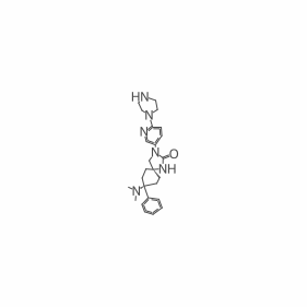 CN(C)[C@]1(c2ccccc2)CC[C@@]2(CC1)CN(c1ccc(N3CCNCC3)nc1)C(=O)N2